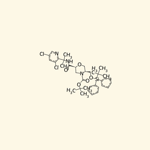 CC(C)(C)OC(=O)N1C[C@@H](C(=O)NC(C)(C)c2ncc(Cl)cc2Cl)OC[C@H]1CO[Si](c1ccccc1)(c1ccccc1)C(C)(C)C